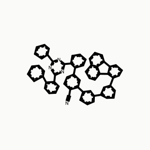 N#Cc1ccc(-c2ccccc2-c2nc(-c3ccccc3)nc(-c3ccccc3-c3ccccc3)n2)cc1-c1cccc(-c2cccc(-c3cccc4c3-c3cccc5cccc-4c35)c2)c1